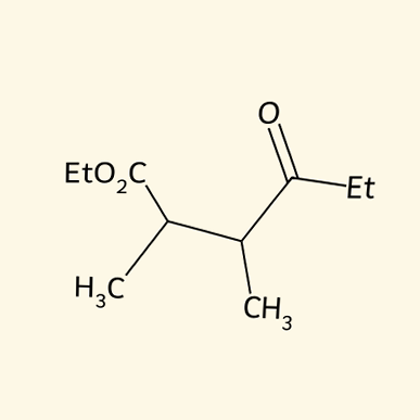 CCOC(=O)C(C)C(C)C(=O)CC